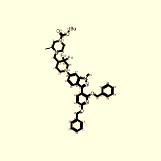 C[C@H]1CN(C(=O)OC(C)(C)C)CCN1CC1CCN(c2ccc3c(-c4ccc(OCc5ccccc5)nc4OCc4ccccc4)nn(C)c3c2)CC1(F)F